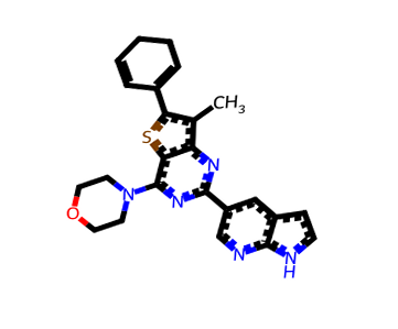 Cc1c(C2=CCCC=C2)sc2c(N3CCOCC3)nc(-c3cnc4[nH]ccc4c3)nc12